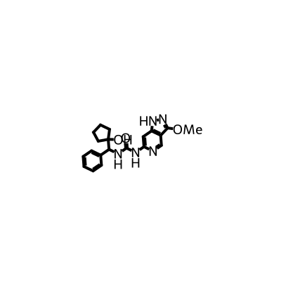 COc1n[nH]c2cc(NC(=O)NC(c3ccccc3)C3(O)CCCC3)ncc12